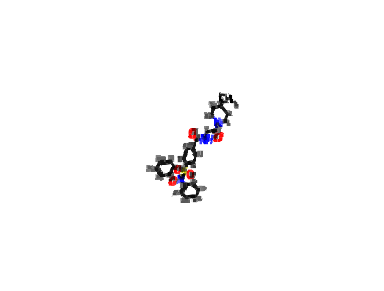 CC1CCN(C(=O)CNC(=O)c2ccc(S(=O)(=O)N(Oc3ccccc3)c3ccccc3)cc2)CC1